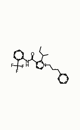 CCC(C)c1c(C(=O)Nc2ccccc2C(F)(F)F)ccn1CCCc1ccccc1